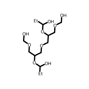 CCC(O)OC(COCO)COCC(COCO)OC(O)CC